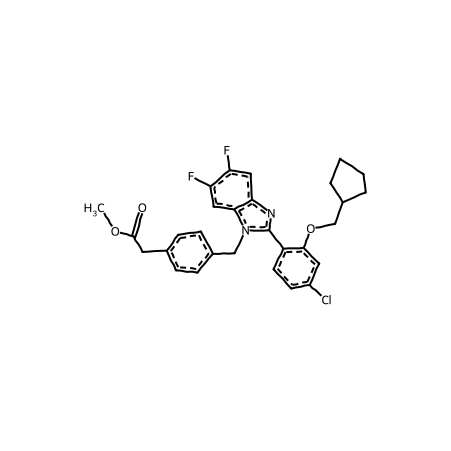 COC(=O)Cc1ccc(Cn2c(-c3ccc(Cl)cc3OCC3CCCC3)nc3cc(F)c(F)cc32)cc1